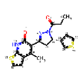 CCC(=O)N1N=C(c2c(C)c3ccsc3[nH]c2=O)C[C@H]1c1ccsc1